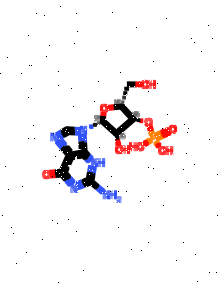 Nc1nc(=O)c2ncn([C@@H]3O[C@H](CO)[C@H](OP(=O)(O)O)[C@H]3O)c2[nH]1